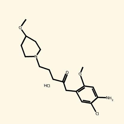 COc1cc(N)c(Cl)cc1CC(=O)CCCN1CCC(OC)CC1.Cl